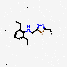 CCc1nnc(CNc2c(CC)cccc2CC)s1